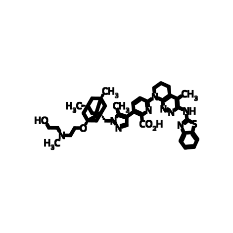 Cc1c(Nc2nc3ccccc3s2)nnc2c1CCCN2c1ccc(-c2cnn(C[C@]34C[C@]5(C)C[C@](C)(C3)C[C@@](OCCN(C)CCO)(C5)C4)c2C)c(C(=O)O)n1